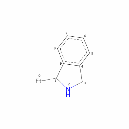 [CH2]CC1NCc2ccccc21